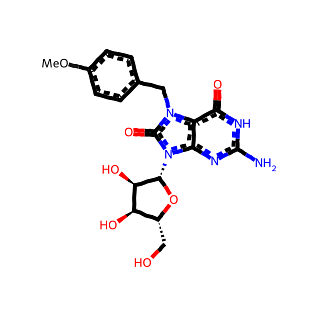 COc1ccc(Cn2c(=O)n([C@@H]3O[C@H](CO)[C@@H](O)[C@H]3O)c3nc(N)[nH]c(=O)c32)cc1